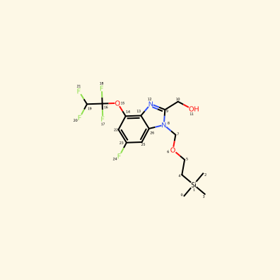 C[Si](C)(C)CCOCn1c(CO)nc2c(OC(F)(F)C(F)F)cc(F)cc21